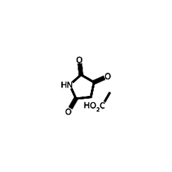 CC(=O)O.O=C1CC(=O)C(=O)N1